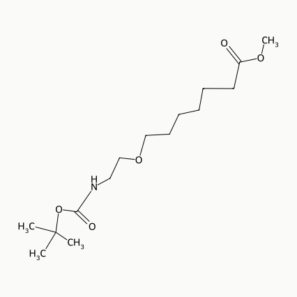 COC(=O)CCCCCCOCCNC(=O)OC(C)(C)C